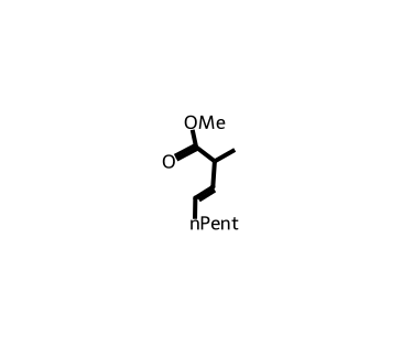 CCCCCC=CC(C)C(=O)OC